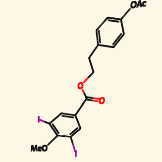 COc1c(I)cc(C(=O)OCCc2ccc(OC(C)=O)cc2)cc1I